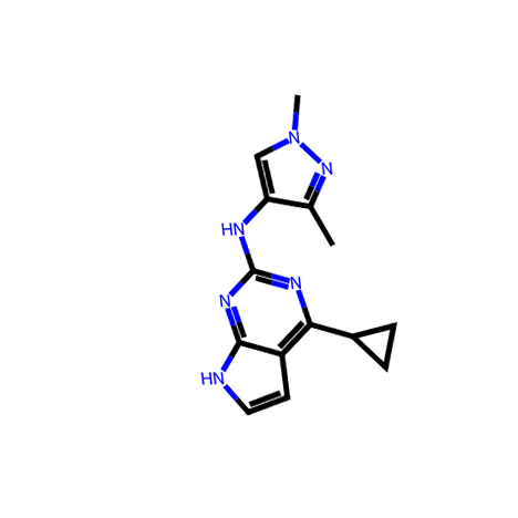 Cc1nn(C)cc1Nc1nc(C2CC2)c2cc[nH]c2n1